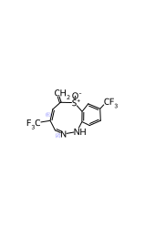 C=C1/C=C(C(F)(F)F)\C=N/Nc2ccc(C(F)(F)F)cc2[S+]1[O-]